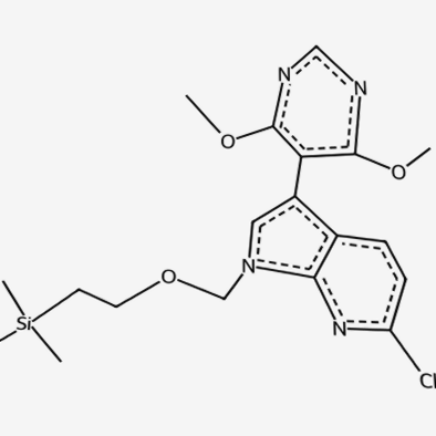 COc1ncnc(OC)c1-c1cn(COCC[Si](C)(C)C)c2nc(Cl)ccc12